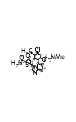 CNCCOc1ccc(C(C)Oc2cc(-c3cnc4ccccn34)sc2C(N)=O)c(Cl)c1